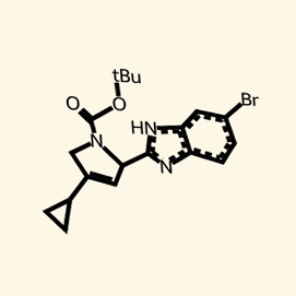 CC(C)(C)OC(=O)N1CC(C2CC2)=CC1c1nc2ccc(Br)cc2[nH]1